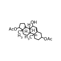 CC(=O)OC1CC[C@@]2(C)C(=CC(O)[C@@H]3[C@@H]2CC[C@]2(C)C(OC(C)=O)CC[C@@H]32)C1